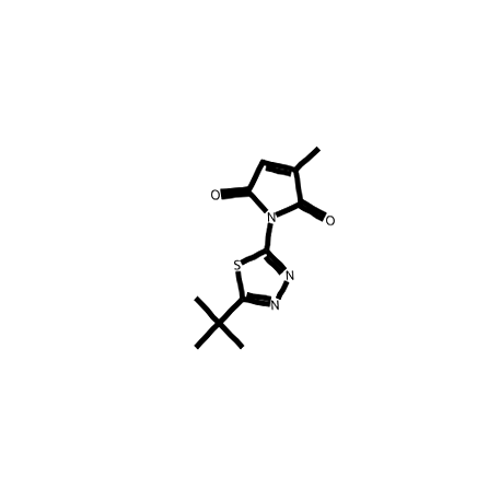 CC1=CC(=O)N(c2nnc(C(C)(C)C)s2)C1=O